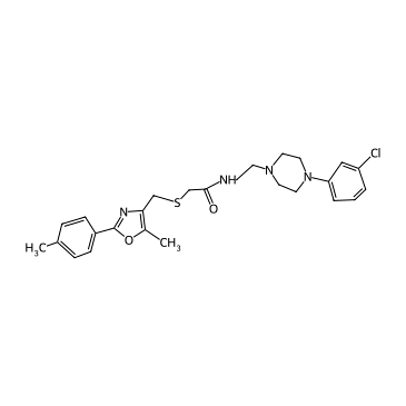 Cc1ccc(-c2nc(CSCC(=O)NCCN3CCN(c4cccc(Cl)c4)CC3)c(C)o2)cc1